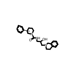 O=C(NCC(O)CN1CCc2ccccc2C1)N1CCC[C@H](c2ccccc2)C1